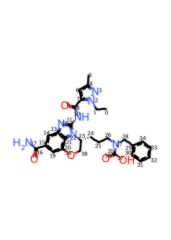 CCn1nc(C)cc1C(=O)Nc1nc2cc(C(N)=O)cc3c2n1[C@H](CCCN(Cc1ccccc1)C(=O)O)CO3